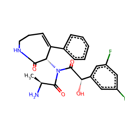 C[C@H](N)C(=O)N(C(=O)[C@@H](O)c1cc(F)cc(F)c1)[C@@H]1C(=O)NCCC=C1c1ccccc1